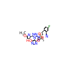 COC1=CCC(c2nnc(NS(=O)(=O)CCc3ccc(F)cc3C#N)n2-c2c(O)ncnc2OC)=N1